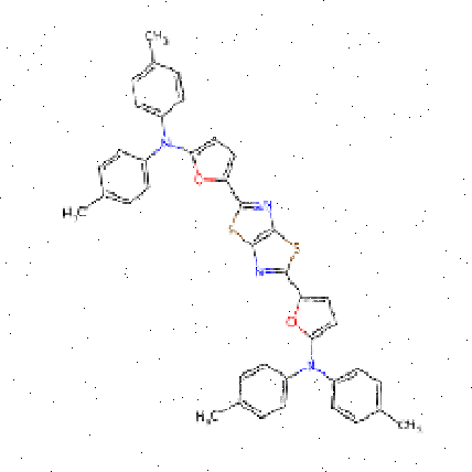 Cc1ccc(N(c2ccc(C)cc2)c2ccc(-c3nc4sc(-c5ccc(N(c6ccc(C)cc6)c6ccc(C)cc6)o5)nc4s3)o2)cc1